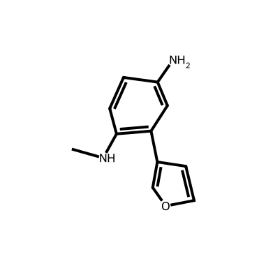 CNc1ccc(N)cc1-c1ccoc1